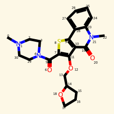 CN1CCN(C(=O)c2sc3c(c2OCC2CCCO2)c(=O)n(C)c2ccccc32)CC1